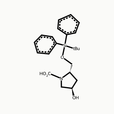 CC(C)(C)[Si](OC[C@@H]1C[C@@H](O)CN1C(=O)O)(c1ccccc1)c1ccccc1